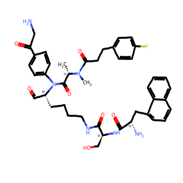 C[C@@H](C(=O)N(c1ccc(C(=O)CN)cc1)[C@@H]([C]=O)CCCCNC(=O)[C@H](CO)NC(=O)[C@@H](N)Cc1cccc2ccccc12)N(C)C(=O)CCc1ccc(F)cc1